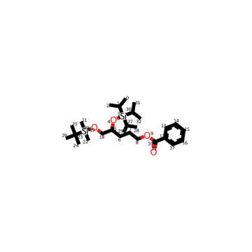 CC(C)[Si](OC(CCCOC(=O)c1ccccc1)CO[Si](C)(C)C(C)(C)C)(C(C)C)C(C)C